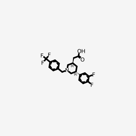 O=C(O)C[C@H]1C[C@H](c2ccc(F)c(F)c2)CN(Cc2ccc(C(F)(F)F)cc2)C1